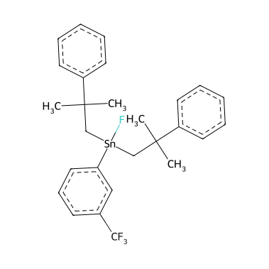 CC(C)([CH2][Sn]([F])([CH2]C(C)(C)c1ccccc1)[c]1cccc(C(F)(F)F)c1)c1ccccc1